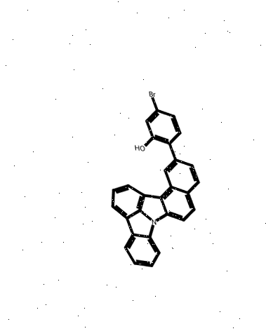 Oc1cc(Br)ccc1-c1ccc2ccc3c(c2c1)c1cccc2c4ccccc4n3c21